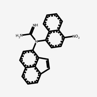 N=C(N)N(c1ccc2cccc3c2c1C=C3)c1ccc([N+](=O)[O-])c2ccccc12